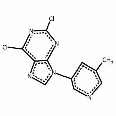 Cc1cncc(-n2cnc3c(Cl)nc(Cl)nc32)c1